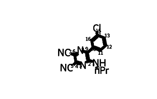 CCCNc1nc(C#N)c(C#N)nc1-c1cccc(Cl)c1